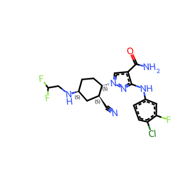 N#C[C@H]1C[C@@H](NCC(F)F)CC[C@@H]1n1cc(C(N)=O)c(Nc2ccc(Cl)c(F)c2)n1